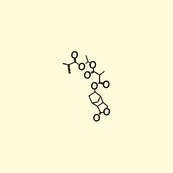 C=C(C)C(=O)OC(C)OC(=O)C(C)C(=O)OC1CC2CC1C1COC(=O)C21